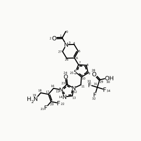 CC(=O)N1CC=C(c2ccc(Cn3cnn(CC(CN)=C(F)F)c3=O)s2)CC1.O=C(O)C(F)(F)F